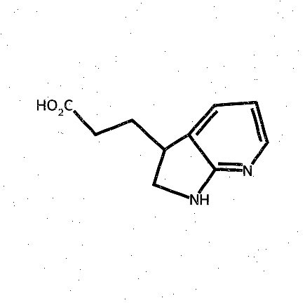 O=C(O)CCC1CNc2ncccc21